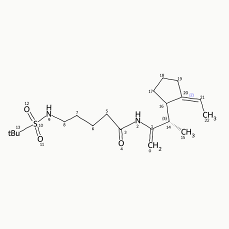 C=C(NC(=O)CCCCNS(=O)(=O)C(C)(C)C)[C@@H](C)C1CCC/C1=C/C